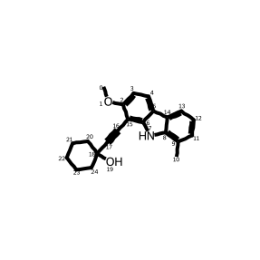 COc1ccc2c([nH]c3c(C)cccc32)c1C#CC1(O)CCCCC1